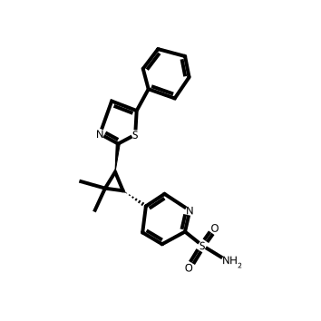 CC1(C)[C@@H](c2ccc(S(N)(=O)=O)nc2)[C@@H]1c1ncc(-c2ccccc2)s1